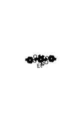 CCOc1cc(C(=O)Oc2ccc(C)cc2)c(C)c(C)c1C(=O)Oc1ccc(C)cc1